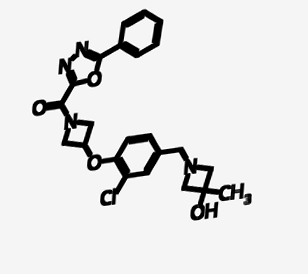 CC1(O)CN(Cc2ccc(OC3CN(C(=O)c4nnc(-c5ccccc5)o4)C3)c(Cl)c2)C1